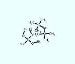 CCC[Si](OCC)(OCC)OCC.C[Si](C)(C)N[Si](C)(C)C